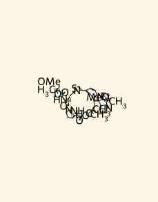 CCn1c(-c2cccnc2[C@H](C)OC)c2c3cc(ccc31)-c1csc(n1)C[C@H](NC(=O)O[C@@H](C)COC)C(=O)N1CCC[C@H](N1)C(=O)OCC(C)(C)C2